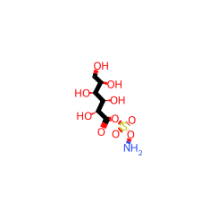 NOS(=O)(=O)OC(=O)[C@H](O)[C@@H](O)[C@H](O)[C@H](O)CO